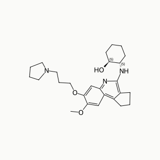 COc1cc2c3c(c(N[C@H]4CCCC[C@@H]4O)nc2cc1OCCCN1CCCC1)CCC3